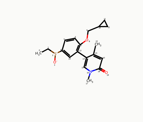 CC[S+]([O-])c1ccc(OCC2CC2)c(-c2cn(C)c(=O)cc2C)c1